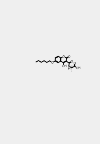 CCCCCCOc1ccc2oc(=O)c(C(=O)N[C@@H](C)C(=O)O)c(O)c2c1